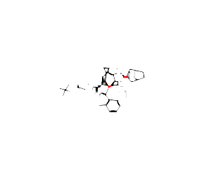 CC(C)(C)OC(=O)CNC(=O)c1cc(F)c2nc(N3C4CCC3CC(OC(=O)c3c(-c5c(Cl)cccc5Cl)noc3C3CC3)C4)sc2c1